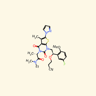 CCN(C)C(=O)[C@H](C)n1c(=O)c2c(C)c(-n3cccn3)sc2n(C[C@H](OCCC#N)c2cc(F)ccc2OC)c1=O